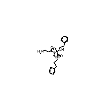 CCC(NCCc1ccccc1)(NC(=O)CCN)C(=O)NCCCc1ccccc1